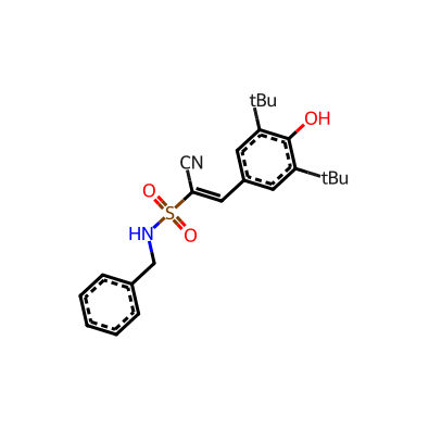 CC(C)(C)c1cc(/C=C(\C#N)S(=O)(=O)NCc2ccccc2)cc(C(C)(C)C)c1O